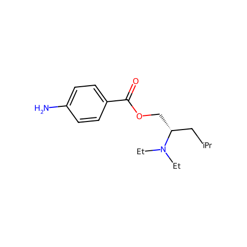 CCN(CC)[C@H](COC(=O)c1ccc(N)cc1)CC(C)C